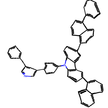 c1ccc(-c2cncc(-c3ccc(-n4c5ccc(-c6cccc7ccccc67)cc5c5cc(-c6cccc7c(-c8ccccc8)cccc67)ccc54)cc3)c2)cc1